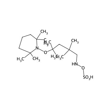 CC(C)(CNOS(=O)(=O)O)CC(C)(C)ON1C(C)(C)CCCC1(C)C